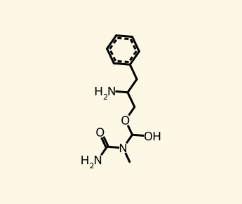 CN(C(N)=O)C(O)OCC(N)Cc1ccccc1